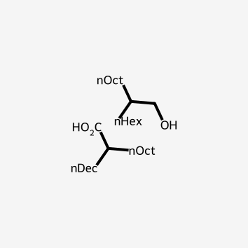 CCCCCCCCC(CO)CCCCCC.CCCCCCCCCCC(CCCCCCCC)C(=O)O